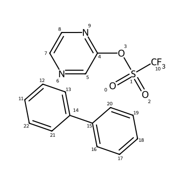 O=S(=O)(Oc1cnccn1)C(F)(F)F.c1ccc(-c2ccccc2)cc1